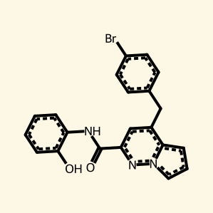 O=C(Nc1ccccc1O)c1cc(Cc2ccc(Br)cc2)c2cccn2n1